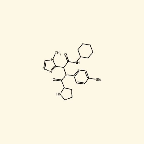 Cn1cnnc1C(C(=O)NC1CCCCC1)N(C(=O)C1CCCN1)c1ccc(C(C)(C)C)cc1